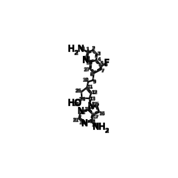 Nc1ccc2c(F)cc(CCC3=C[C@@H](n4ccc5c(N)ncnc54)[C@H](O)C3)cc2n1